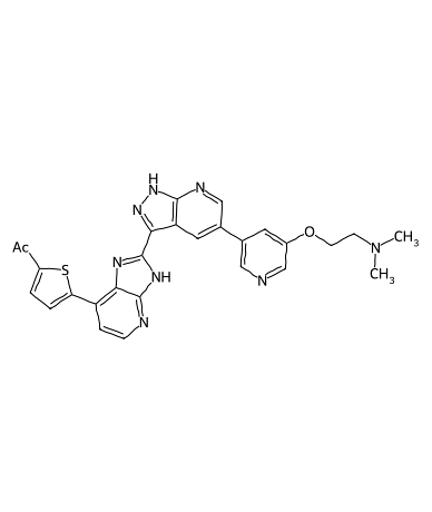 CC(=O)c1ccc(-c2ccnc3[nH]c(-c4n[nH]c5ncc(-c6cncc(OCCN(C)C)c6)cc45)nc23)s1